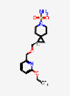 NS(=O)(=O)N1CCC2(CC1)C[C@H]2COCc1cccc(OCC(F)(F)F)n1